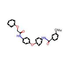 COc1cccc(C(=O)Nc2ccc(Oc3ccc(NC(=O)COc4ccccc4)cc3)cc2)c1